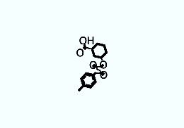 Cc1ccc(S(=O)(=O)O[C@H]2CCC[C@H](C(=O)O)C2)cc1